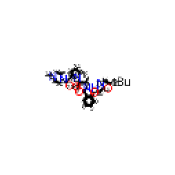 CC(C)C[C@@H](NC(=O)c1ccccc1OCc1ncc(C(C)(C)C)o1)C(=O)N1CCC[C@@H]1C(=O)N1CCN(C)CC1